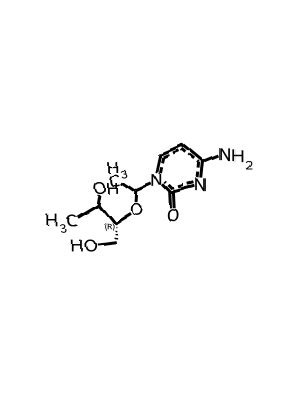 CC(O)[C@@H](CO)OC(C)n1ccc(N)nc1=O